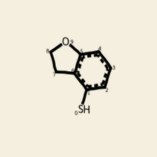 Sc1cccc2c1CCO2